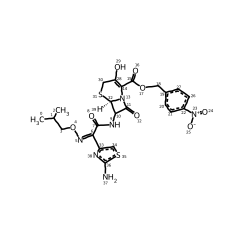 CC(C)CO/N=C(\C(=O)NC1C(=O)N2C(C(=O)OCc3ccc([N+](=O)[O-])cc3)=C(O)CS[C@H]12)c1csc(N)n1